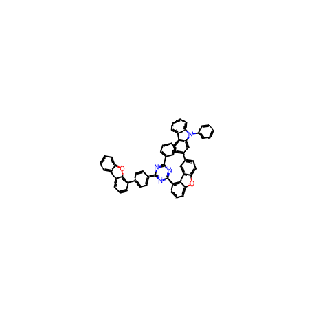 c1ccc(-c2nc(-c3ccc(-c4cccc5c4oc4ccccc45)cc3)nc(-c3cccc4oc5ccc(-c6ccc7c8ccccc8n(-c8ccccc8)c7c6)cc5c34)n2)cc1